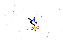 Cc1cc(S(C)(=O)=O)nn1C